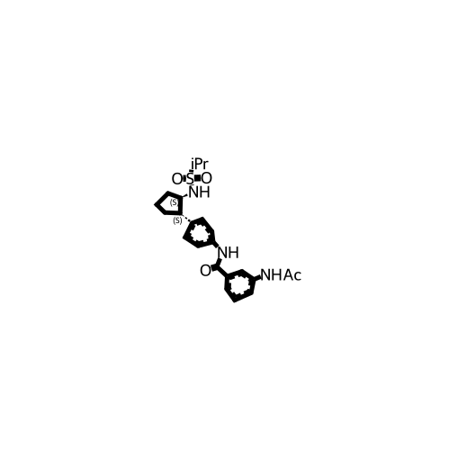 CC(=O)Nc1cccc(C(=O)Nc2ccc([C@@H]3CCC[C@@H]3NS(=O)(=O)C(C)C)cc2)c1